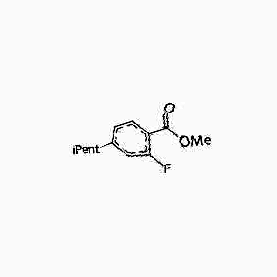 CCCC(C)c1ccc(C(=O)OC)c(F)c1